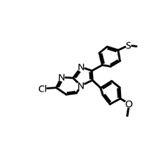 COc1ccc(-c2c(-c3ccc(SC)cc3)nc3nc(Cl)ccn23)cc1